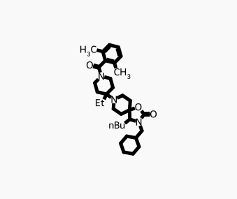 CCCCC1N(CC2CCCCC2)C(=O)OC12CCN(C1(CC)CCN(C(=O)c3c(C)cccc3C)CC1)CC2